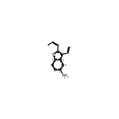 C=Cc1c(/C=C\C)sc2ccc(N)cc12